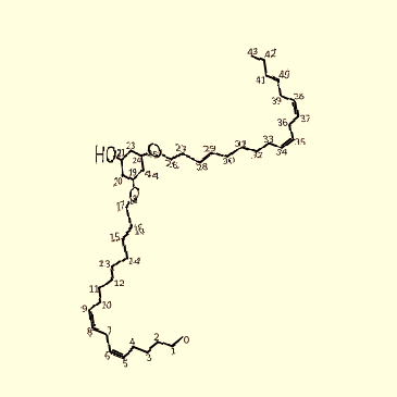 CCCCC/C=C\C/C=C\CCCCCCCCOC1CC(O)CC(OCCCCCCCC/C=C\C/C=C\CCCCC)C1